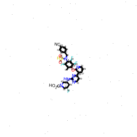 Cc1c(F)c(N(Cc2ccc(C#N)cc2)[SH](=O)=O)c(F)c(F)c1Oc1ncccc1-c1ccnc(N[C@H]2C[C@H](F)CN(C(=O)O)C2)n1